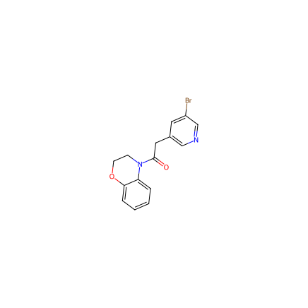 O=C(Cc1cncc(Br)c1)N1CCOc2ccccc21